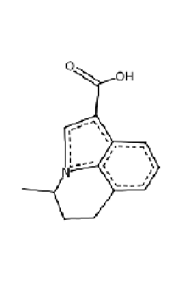 CC1CCc2cccc3c(C(=O)O)cn1c23